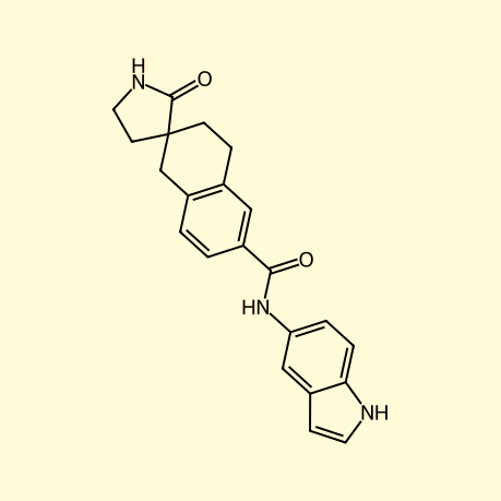 O=C(Nc1ccc2[nH]ccc2c1)c1ccc2c(c1)CCC1(CCNC1=O)C2